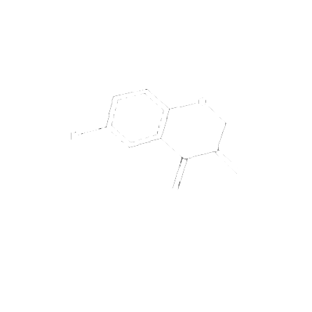 C=C1COc2ccc(F)cc2C1=C